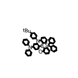 CC(C)(C)c1ccc(N2c3cc(N(c4ccccc4)c4ccccc4)cc4c3B3c5c(cccc5[Si](c5ccccc5)(c5ccccc5)c5cccc2c53)O4)cc1